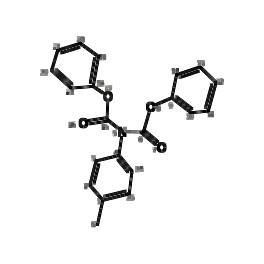 Cc1ccc(N(C(=O)Oc2ccccc2)C(=O)Oc2ccccc2)cc1